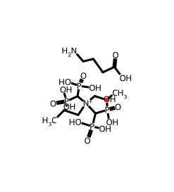 CCC[N+](CCC)(C(P(=O)(O)O)P(=O)(O)O)C(P(=O)(O)O)P(=O)(O)O.NCCCC(=O)O